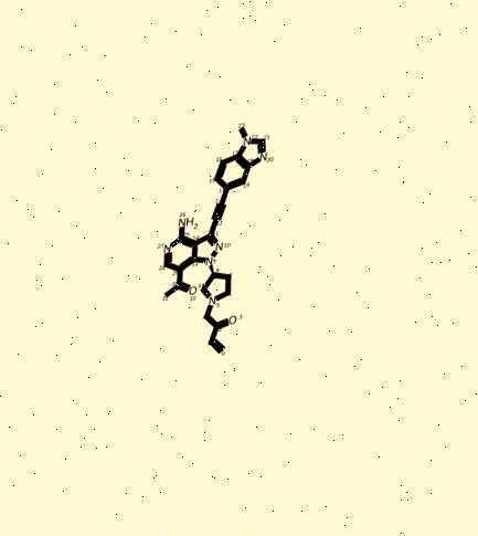 C=CC(=O)CN1CC[C@H](n2nc(C#Cc3ccc4c(c3)ncn4C)c3c(N)ncc(C(C)=O)c32)C1